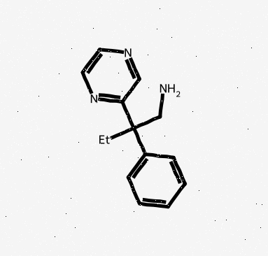 CCC(CN)(c1ccccc1)c1cnccn1